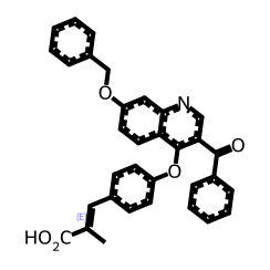 C/C(=C\c1ccc(Oc2c(C(=O)c3ccccc3)cnc3cc(OCc4ccccc4)ccc23)cc1)C(=O)O